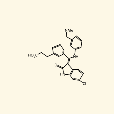 CNCc1cccc(NC(=C2C(=O)Nc3cc(Cl)ccc32)c2cccc(CCC(=O)O)c2)c1